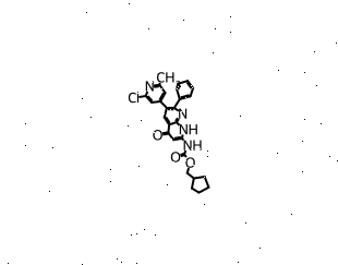 Cc1cc(-c2cc3c(=O)cc(NC(=O)OCC4CCCC4)[nH]c3nc2-c2ccccc2)cc(Cl)n1